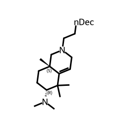 CCCCCCCCCCCCN1CC=C2C(C)(C)[C@H](N(C)C)CC[C@]2(C)C1